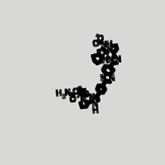 COC(=O)N[C@@H](CC1CCCCC1)C(=O)N1CCCC1c1ncc(-c2ccc3nc(-c4ccc(-c5c[nH]c(C6CCCN6C(=O)[C@@](C)(OC(N)=O)C(C)C)n5)cc4)cnc3c2)[nH]1